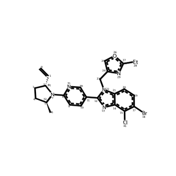 C=C[C@H]1CC[C@H](C)N1c1ccc(-c2nc3c(Cl)c(Br)ccc3n2Cc2coc(CC)n2)cn1